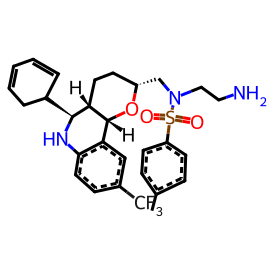 Cc1ccc(S(=O)(=O)N(CCN)C[C@H]2CC[C@@H]3[C@H](O2)c2cc(C(F)(F)F)ccc2N[C@H]3C2C=CC=CC2)cc1